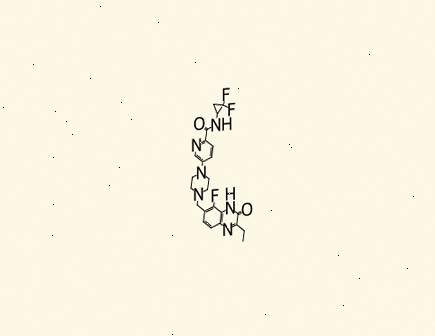 CCc1nc2ccc(CN3CCN(c4ccc(C(=O)NC5CC5(F)F)nc4)CC3)c(F)c2[nH]c1=O